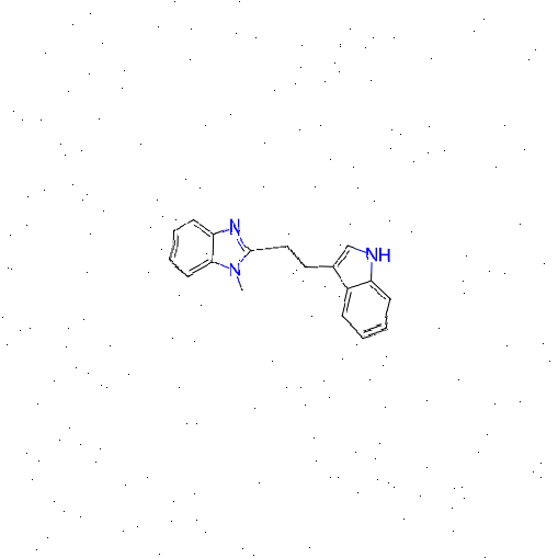 Cn1c(CCc2c[nH]c3ccccc23)nc2ccccc21